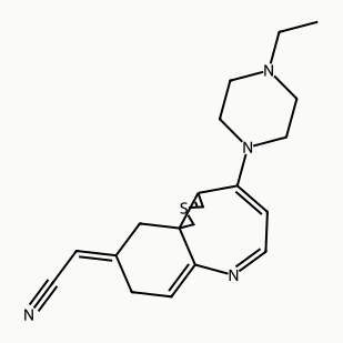 CCN1CCN(C2=CC=NC3=CCC(=CC#N)CC34CSC=C24)CC1